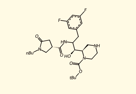 CCCCN1C[C@@H](C(=O)NC(Cc2cc(F)cc(F)c2)[C@H](O)[C@H]2CNCCN2C(=O)OC(C)(C)C)CC1=O